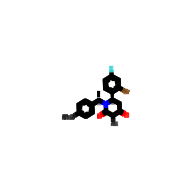 COc1ccc([C@H](C)N2C(=O)C(C(C)=O)C(=O)C[C@@H]2c2ccc(F)cc2Br)cc1